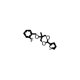 CC1(OCc2ccccc2F)COC(c2cccs2)OC1